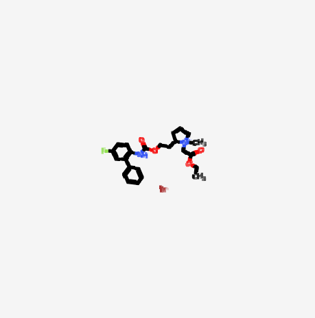 CCOC(=O)C[N+]1(C)CCCC1CCOC(=O)Nc1ccc(F)cc1-c1ccccc1.[Br-]